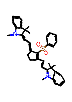 CN1/C(=C/C=C2\CCC(/C=C/C3=[N+](C)c4ccccc4C3(C)C)=C2S(=O)(=O)c2ccccc2)C(C)(C)c2ccccc21